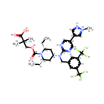 CC[C@@H]1C[C@H](N(Cc2cc(C(F)(F)F)cc(C(F)(F)F)c2)c2ncc(-c3cnn(C)c3)cn2)C[C@H](CC)N1C(=O)OCC(C)(C)C(=O)O